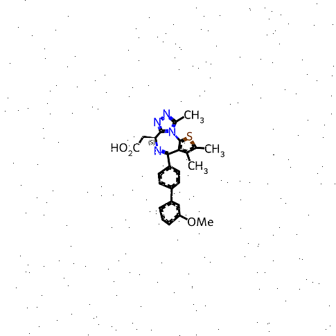 COc1cccc(-c2ccc(C3=N[C@@H](CC(=O)O)c4nnc(C)n4-c4sc(C)c(C)c43)cc2)c1